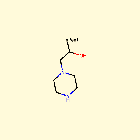 CCCCCC(O)CN1CCNCC1